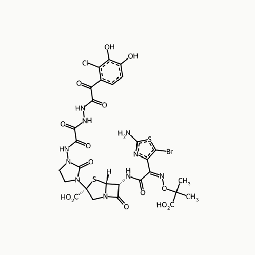 CC(C)(O/N=C(\C(=O)N[C@@H]1C(=O)N2C[C@@](C(=O)O)(N3CCN(NC(=O)C(=O)NNC(=O)C(=O)c4ccc(O)c(O)c4Cl)C3=O)S[C@H]12)c1nc(N)sc1Br)C(=O)O